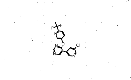 CC(F)(F)c1ccc(Oc2ncncc2-c2cncc(Cl)c2)cn1